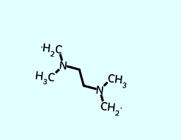 [CH2]N(C)CCN([CH2])C